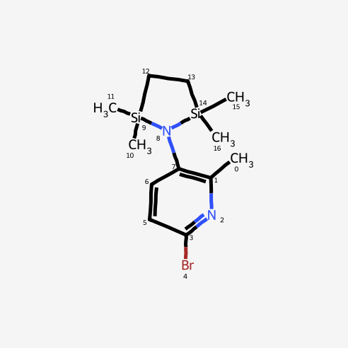 Cc1nc(Br)ccc1N1[Si](C)(C)CC[Si]1(C)C